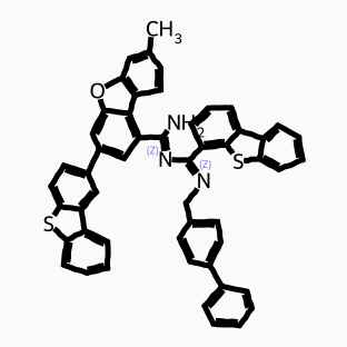 Cc1ccc2c(c1)oc1cc(-c3ccc4sc5ccccc5c4c3)cc(/C(N)=N/C(=N\Cc3ccc(-c4ccccc4)cc3)c3cccc4c3sc3ccccc34)c12